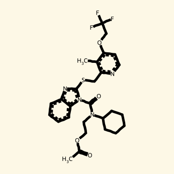 CC(=O)OCCN(C(=O)n1c(SCc2nccc(OCC(F)(F)F)c2C)nc2ccccc21)C1CCCCC1